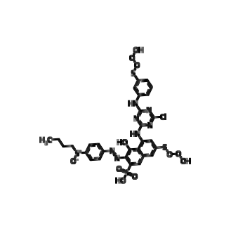 CCCC[S+]([O-])c1ccc(N=Nc2c(S(=O)(=O)O)cc3cc(SOOO)cc(Nc4nc(Cl)nc(Nc5cccc(SOOO)c5)n4)c3c2O)cc1